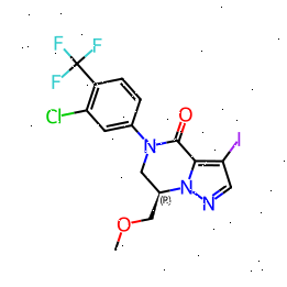 COC[C@H]1CN(c2ccc(C(F)(F)F)c(Cl)c2)C(=O)c2c(I)cnn21